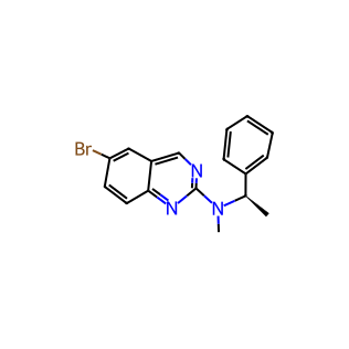 C[C@H](c1ccccc1)N(C)c1ncc2cc(Br)ccc2n1